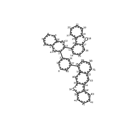 c1cc(-c2nc3ccccc3nc2-c2cccc3oc4ccccc4c23)cc(-c2cccc3cc4c(cc23)sc2ccccc24)c1